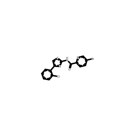 O=C(Nc1nc(-c2ccccc2Cl)cs1)c1ccc(Br)cn1